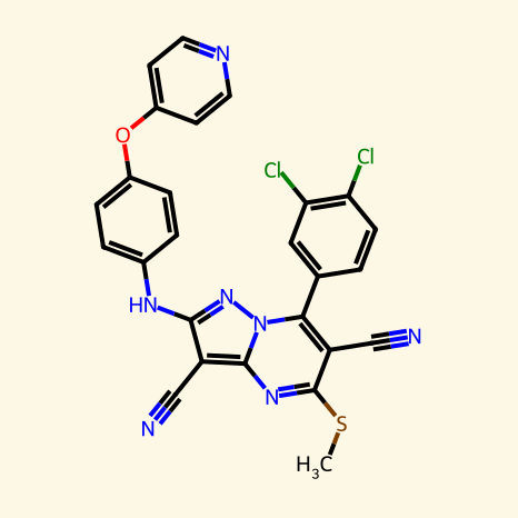 CSc1nc2c(C#N)c(Nc3ccc(Oc4ccncc4)cc3)nn2c(-c2ccc(Cl)c(Cl)c2)c1C#N